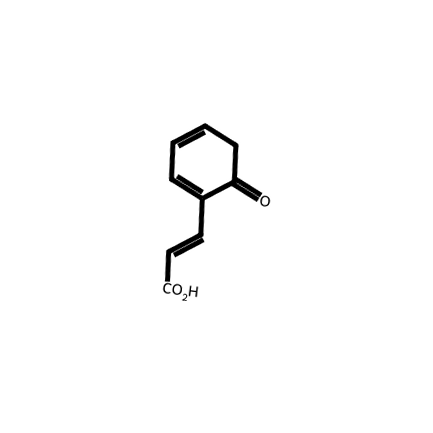 O=C(O)C=CC1=CC=CCC1=O